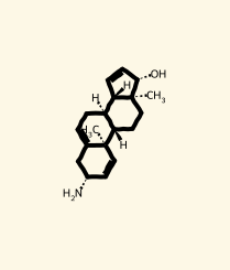 C[C@]12CC[C@H]3[C@@H](CC=C4C[C@@H](N)C=C[C@@]43C)[C@@H]1C=C[C@@H]2O